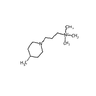 CC1CCN(CCC[N+](C)(C)C)CC1